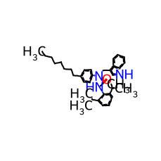 CCCCCCCCc1ccc(N(Cc2c[nH]c3ccccc23)C(=O)Nc2c(C(C)C)cccc2C(C)C)cc1